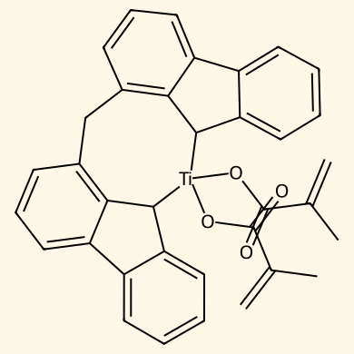 C=C(C)C(=O)[O][Ti]1([O]C(=O)C(=C)C)[CH]2c3ccccc3-c3cccc(c32)Cc2cccc3c2[CH]1c1ccccc1-3